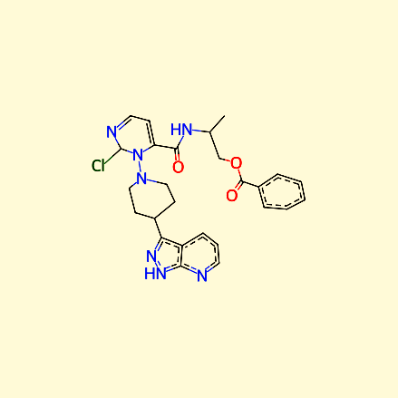 CC(COC(=O)c1ccccc1)NC(=O)C1=CC=NC(Cl)N1N1CCC(c2n[nH]c3ncccc23)CC1